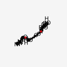 C[C@@H](NC(=O)c1cccc(NCc2nnc(-c3ccncn3)n2C)c1)c1cccc(OCCCCCCOCCOCCN2CCN(c3cc4c(cc3F)C(=O)N(C3CCC(=O)NC3=O)C4=O)CC2)c1